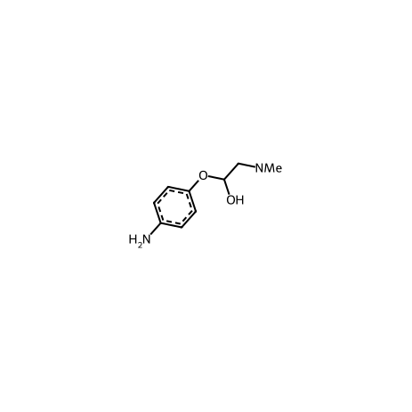 CNCC(O)Oc1ccc(N)cc1